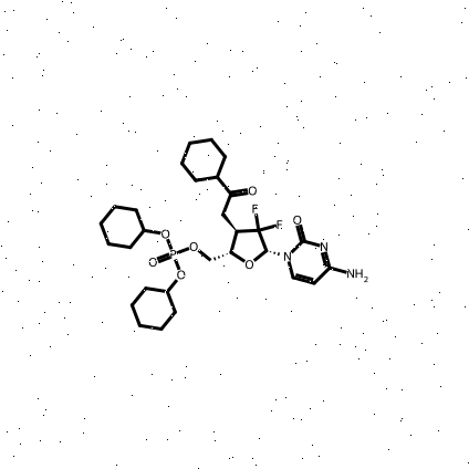 Nc1ccn([C@@H]2O[C@H](COP(=O)(OC3CCCCC3)OC3CCCCC3)[C@@H](CC(=O)C3CCCCC3)C2(F)F)c(=O)n1